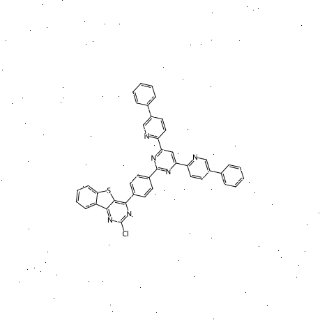 Clc1nc(-c2ccc(-c3nc(-c4ccc(-c5ccccc5)cn4)cc(-c4ccc(-c5ccccc5)cn4)n3)cc2)c2sc3ccccc3c2n1